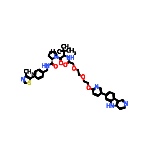 Cc1ncsc1-c1ccc(CNC(=O)[C@@H]2CCCN2C(=O)C(NC(=O)COCCOCCOc2ccc(-c3ccc4c(c3)[nH]c3ccncc34)cn2)C(C)(C)C)cc1